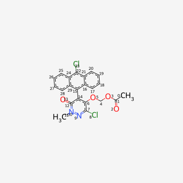 CC(=O)OCOc1c(Cl)nn(C)c(=O)c1-c1c2ccccc2c(Cl)c2ccccc12